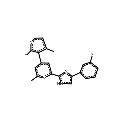 Cc1cc(-c2c(C)ccnc2F)cc(-c2nc(-c3cccc(F)c3)c[nH]2)n1